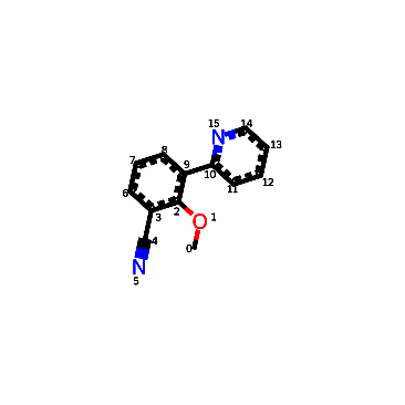 COc1c(C#N)cccc1-c1ccccn1